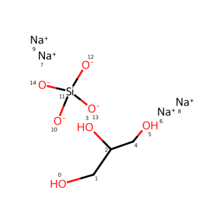 OCC(O)CO.[Na+].[Na+].[Na+].[Na+].[O-][Si]([O-])([O-])[O-]